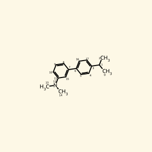 CC(C)c1ccc(-c2cccc(N(C)C)c2)cc1